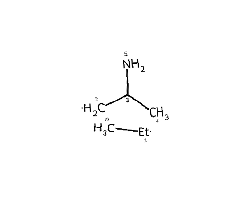 C[CH]C.[CH2]C(C)N